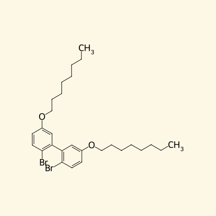 CCCCCCCCOc1ccc(Br)c(-c2cc(OCCCCCCCC)ccc2Br)c1